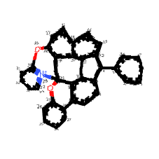 c1ccc(C2c3ccc4c5c3-c3c2ccc2ccc6c(c32)C5(Oc2ccccc2-4)[n+]2ccccc2O6)cc1